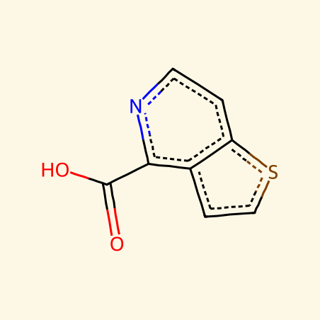 O=C(O)c1nccc2sccc12